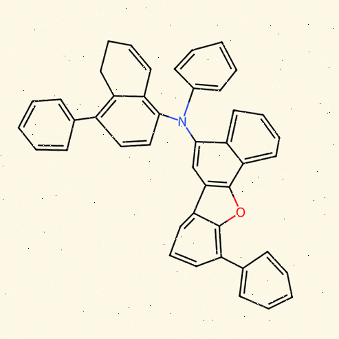 C1=Cc2c(N(c3ccccc3)c3cc4c5cccc(-c6ccccc6)c5oc4c4ccccc34)ccc(-c3ccccc3)c2CC1